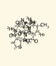 [2H]c1c(C)c([2H])c(C(C)=O)c(N([2H])C(=O)c2sccc2S(=O)(=O)N([2H])c2onc(C([2H])([2H])[2H])c2C)c1C